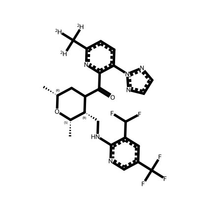 [2H]C([2H])([2H])c1ccc(-n2nccn2)c(C(=O)C2C[C@@H](C)O[C@@H](C)[C@H]2CNc2ncc(C(F)(F)F)cc2C(F)F)n1